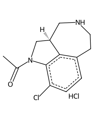 CC(=O)N1C[C@H]2CNCCc3ccc(Cl)c1c32.Cl